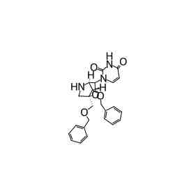 O=c1ccn(C2O[C@@]3(COCc4ccccc4)CN[C@@H]2[C@@H]3OCc2ccccc2)c(=O)[nH]1